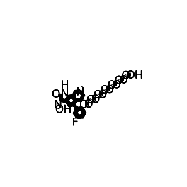 CN1CCc2c(-c3cc(F)ccc3OOOOOOOOOOOOOO)cc3c(c2C1)NC(=O)/C3=N/O